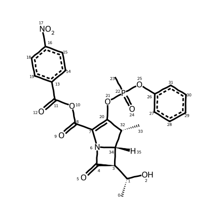 C[C@@H](O)[C@H]1C(=O)N2C(C(=O)OC(=O)c3ccc([N+](=O)[O-])cc3)=C(OP(C)(=O)Oc3ccccc3)[C@H](C)[C@H]12